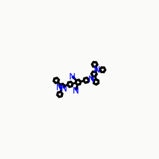 N#Cc1cc(-c2ccc(-n3c4ccccc4c4cc(N(c5ccccc5)c5ccccc5)ccc43)cc2)cc(C#N)c1-c1ccc(-c2cc(-c3ccccc3)nc(-c3ccccc3)n2)cc1